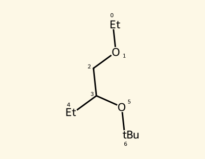 CCOCC(CC)OC(C)(C)C